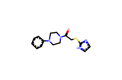 O=C(CSc1ncc[nH]1)N1CCN(c2ccccc2)CC1